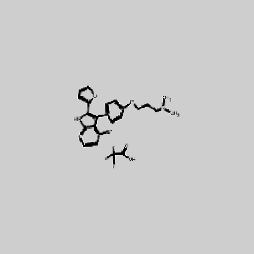 CN(C)CCCOc1ccc(-c2c(-c3ccco3)[nH]c3nccc(Br)c23)cc1.O=C(O)C(F)(F)F